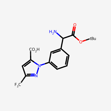 CC(C)(C)OC(=O)C(N)c1cccc(-n2nc(C(F)(F)F)cc2C(=O)O)c1